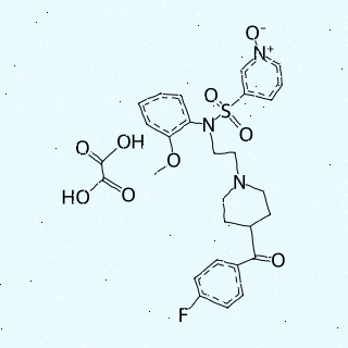 COc1ccccc1N(CCN1CCC(C(=O)c2ccc(F)cc2)CC1)S(=O)(=O)c1ccc[n+]([O-])c1.O=C(O)C(=O)O